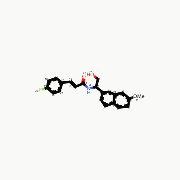 COc1ccc2ccc(C(CO)NC(=O)/C=C/c3ccc(F)cc3)cc2c1